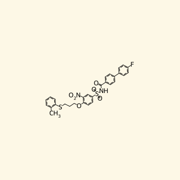 Cc1ccccc1SCCCOc1ccc(S(=O)(=O)NC(=O)c2ccc(-c3ccc(F)cc3)cc2)cc1[N+](=O)[O-]